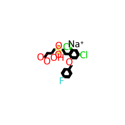 O=C([O-])CC(O)CS(=O)(=O)CCc1c(Cl)cc(Cl)cc1OCc1ccc(F)cc1.[Na+]